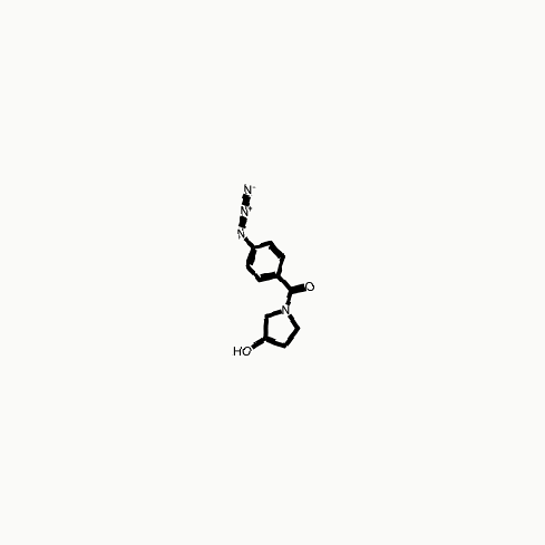 [N-]=[N+]=Nc1ccc(C(=O)N2CCC(O)C2)cc1